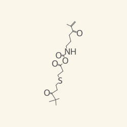 C=C(C)C(=O)CCCNC(=O)OC(=O)CCSCCC(=O)C(C)(C)C